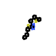 c1cc(-c2cccc3c2sc2ccccc23)cc(-c2ncnc3c2sc2ccc(-c4ccc5ccccc5c4)cc23)c1